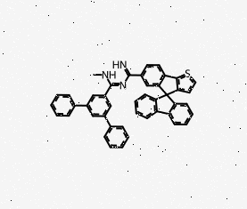 CN/C(=N\C(=N)c1ccc2c(c1)C1(c3ccccc3-c3ccccc31)c1ccsc1-2)c1cc(-c2ccccc2)cc(-c2ccccc2)c1